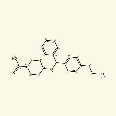 CCOc1ccc(C(OC2CCN(C(=O)O)CC2)c2ccccc2)cc1